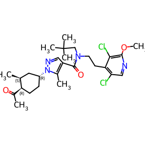 COc1ncc(Cl)c(CCN(CC(C)(C)C)C(=O)c2cnn([C@@H]3CC[C@@H](C(C)=O)[C@@H](C)C3)c2C)c1Cl